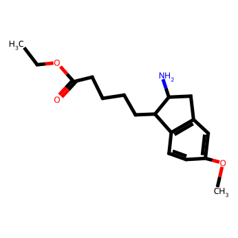 CCOC(=O)CCCCC1c2ccc(OC)cc2CC1N